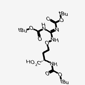 CC(C)(C)OC(=O)/N=C(/NOCC[C@H](NC(=O)OC(C)(C)C)C(=O)O)NC(=O)OC(C)(C)C